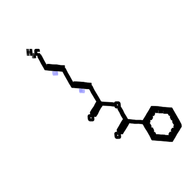 C/C=C/C=C/C(=O)OC(=O)c1ccccc1